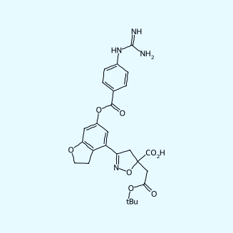 CC(C)(C)OC(=O)CC1(C(=O)O)CC(c2cc(OC(=O)c3ccc(NC(=N)N)cc3)cc3c2CCO3)=NO1